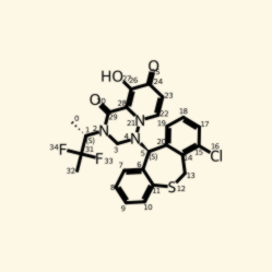 C[C@H](N1CN([C@@H]2c3ccccc3SCc3c(Cl)cccc32)n2ccc(=O)c(O)c2C1=O)C(C)(F)F